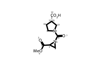 COC(=O)C1CN1C(=O)N1CC[C@H](C(=O)O)C1